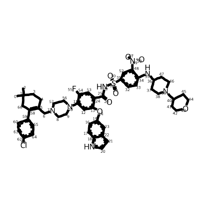 CC1(C)CCC(CN2CCN(c3cc(Oc4ccc5[nH]ccc5c4)c(C(=O)NS(=O)(=O)c4ccc(NC5CCN(C6CCOCC6)CC5)c([N+](=O)[O-])c4)cc3F)CC2)=C(c2ccc(Cl)cc2)C1